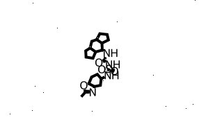 CC1=NC2CC(NS(=O)(=O)NC(=O)NC3C4CCCC4CC4CCCC43)CCC2O1